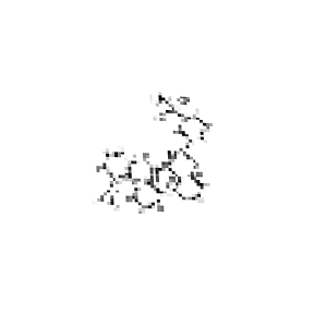 NS(=O)(=O)c1cncc(-c2nc(NCc3cccc(C4CC4)n3)c3c(-c4ccccc4)cccc3n2)c1